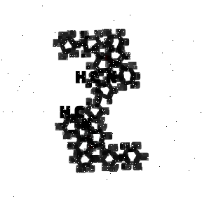 Cc1cc(-c2ccc(N(c3ccc(-c4cccc(-c5ccccc5)c4)cc3)c3ccccc3-c3ccc4ccccc4c3)c(C)c2)ccc1N(c1ccc(-c2cccc(-c3ccccc3)c2)cc1)c1ccccc1-c1ccc2ccccc2c1